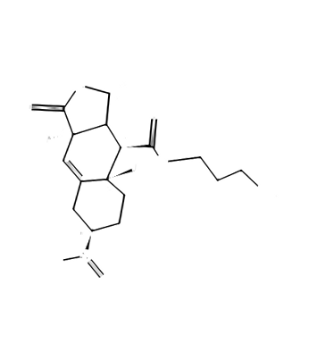 CCCCOC(=O)[C@@H]1C2[C@@H](C)OC(=O)[C@@H]2C=C2C[C@H]([N+](=O)[O-])CC[C@H]21